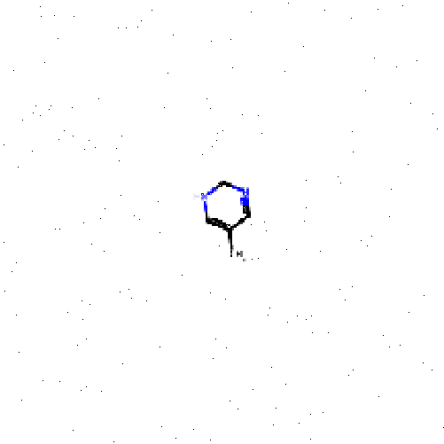 CC1=CNCN=C1